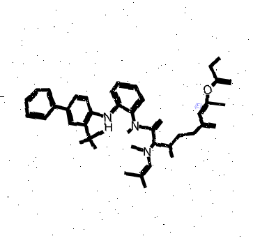 C=C(/C=C(\C)OC(=C)CC)CCC(C)C(C(=C)N(C)c1ccccc1Nc1ccc(-c2ccccc2)cc1C(C)(C)C)N(C)C=C(C)C